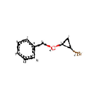 Br[C]1CC1OCc1ccccc1